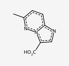 Cc1ccc2ncc(C(=O)O)n2n1